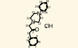 Cl.O=C(Cc1ccccc1)CN1CCN(c2ccccc2)CC1